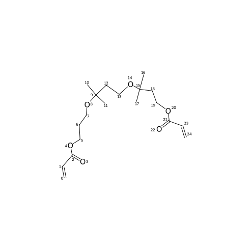 C=CC(=O)OCCCOC(C)(C)CCOC(C)(C)CCOC(=O)C=C